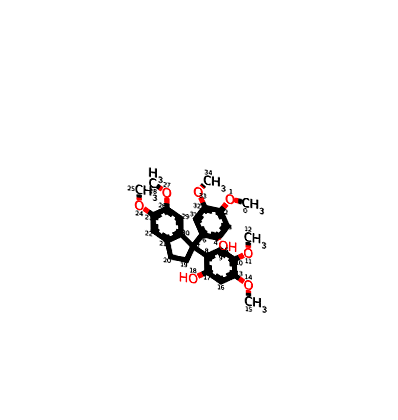 COc1cc(O)c(C2(c3cc(OC)c(OC)cc3O)CCc3cc(OC)c(OC)cc32)cc1OC